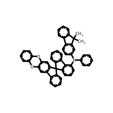 CC1(C)c2ccccc2-c2ccc(N(c3ccccc3)c3cccc4c3-c3ccccc3C43c4ccccc4-c4cc5c(cc43)Oc3ccccc3O5)cc21